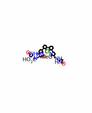 COc1nc(-c2cccc(-c3cccc(-c4ccc5nc(CN(C[C@@H]6CCC(=O)N6)C(=O)O)cc(=O)n5c4)c3Cl)c2Cl)ccc1CNC[C@@H]1CCC(=O)N1